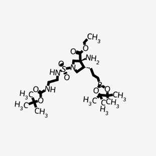 CCOC(=O)[C@@]1(N)CN(S(=O)(=O)NCCNC(=O)OC(C)(C)C)C[C@H]1CCCB1OC(C)(C)C(C)(C)O1